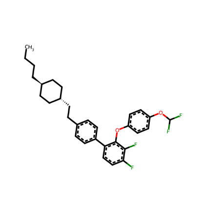 CCCC[C@H]1CC[C@H](CCc2ccc(-c3ccc(F)c(F)c3Oc3ccc(OC(F)F)cc3)cc2)CC1